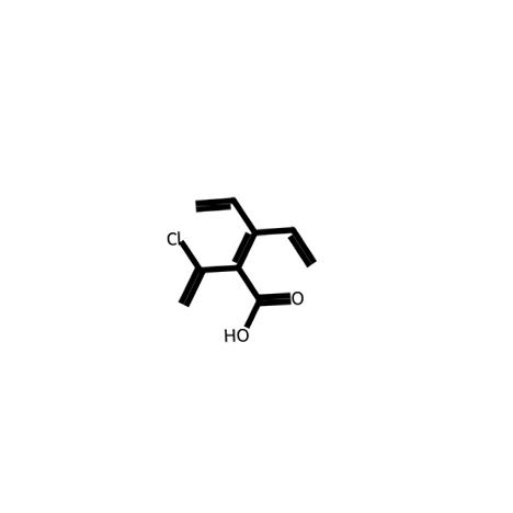 C=CC(C=C)=C(C(=C)Cl)C(=O)O